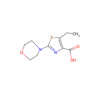 CCc1sc(N2CCOCC2)nc1C(=O)O